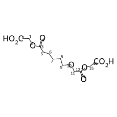 O=C(O)COC(=O)CCCCCOCC(=O)OCC(=O)O